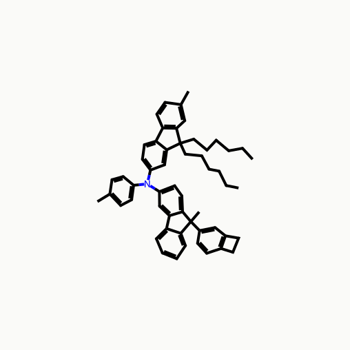 CCCCCCC1(CCCCCC)c2cc(C)ccc2-c2ccc(N(c3ccc(C)cc3)c3ccc4c(c3)-c3ccccc3C4(C)c3ccc4c(c3)CC4)cc21